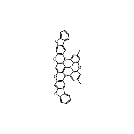 Cc1cc2c3c(c1)B1c4cc5c(cc4Oc4cc6c7c(c41)N3c1c(cc(C)cc1B7c1cc3c(cc1O6)oc1ccccc13)O2)oc1ccccc15